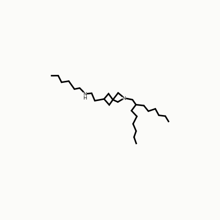 CCCCCCNCCC1CC2(C1)CN(CC(CCCCCC)CCCCCC)C2